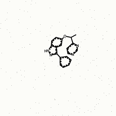 CC(Oc1ccc2[nH]nc(-c3ccccc3)c2c1)c1ccncn1